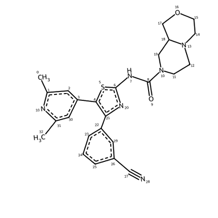 Cc1cc(-c2sc(NC(=O)N3CCN4CCOCC4C3)nc2-c2cccc(C#N)c2)cc(C)n1